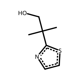 CC(C)(CO)c1nccs1